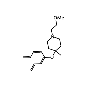 C=C/C=C\C(=C/C=C)OC1(C)CCN(CCOC)CC1